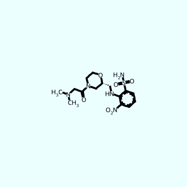 CN(C)CC(=O)N1CCO[C@H](CNc2c([N+](=O)[O-])cccc2S(N)(=O)=O)C1